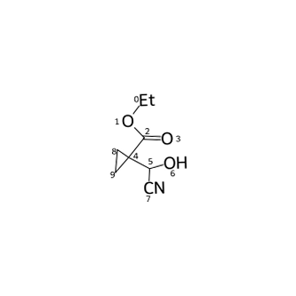 CCOC(=O)C1(C(O)C#N)CC1